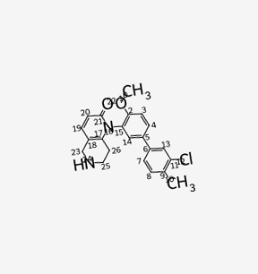 COc1ccc(-c2ccc(C)c(Cl)c2)cc1-n1c2c(ccc1=O)CNCC2